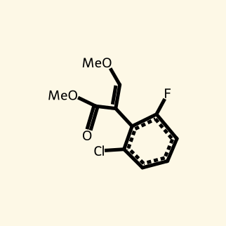 COC=C(C(=O)OC)c1c(F)cccc1Cl